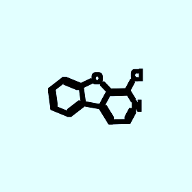 Clc1nccc2c1oc1ccccc12